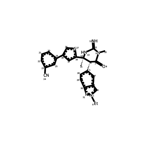 CCn1cc2cc([C@H]3C(=O)N(C)C(=N)N[C@]3(C)c3cc(-c4cccc(C#N)c4)cs3)ccc2n1